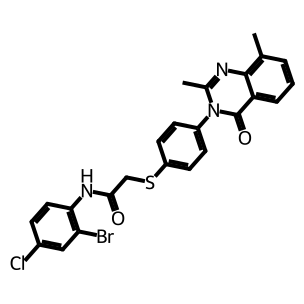 Cc1cccc2c(=O)n(-c3ccc(SCC(=O)Nc4ccc(Cl)cc4Br)cc3)c(C)nc12